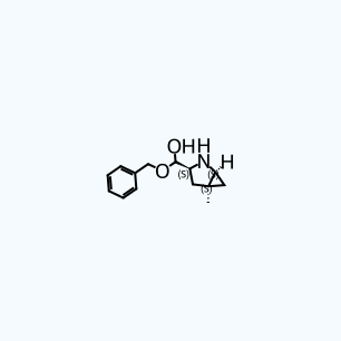 C[C@]12C[C@@H](C(O)OCc3ccccc3)N[C@H]1C2